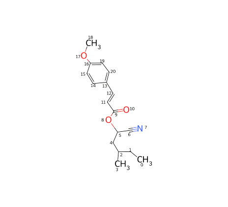 CCC(C)CC(C#N)OC(=O)C=Cc1ccc(OC)cc1